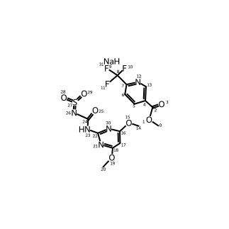 COC(=O)c1ccc(C(F)(F)F)nc1.COc1cc(OC)nc(NC(=O)N=S(=O)=O)n1.[NaH]